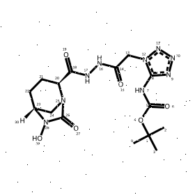 CC(C)(C)OC(=O)Nc1nnnn1CC(=O)NNC(=O)[C@@H]1CC[C@@H]2CN1C(=O)N2O